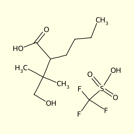 CCCCC(C(=O)O)C(C)(C)CO.O=S(=O)(O)C(F)(F)F